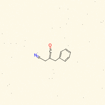 N#CCC(=C=O)Cc1ccccc1